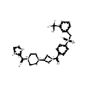 O=C(c1ccc(S(=O)(=O)Cc2cccc(C(F)(F)F)c2)cc1)N1CC(N2CCN(C(=O)c3nccs3)CC2)C1